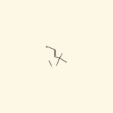 CI.FC(F)(F)C=CBr